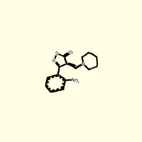 O=C1ON=C(c2ccccc2[N+](=O)[O-])C1=CN1CCCCC1